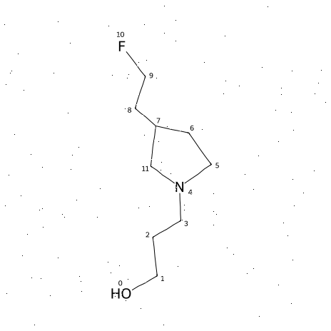 OCCCN1CCC(CCF)C1